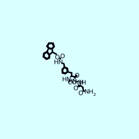 NC(=O)CC(=O)NNC(=O)C(Cc1cccc(CNC(=O)OCC2c3ccccc3-c3ccccc32)c1)NC(=O)O